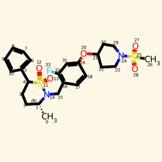 C[C@@H]1CCC(c2ccccc2)S(=O)(=O)N1Cc1ccc(OC2CCN(S(C)(=O)=O)CC2)cc1F